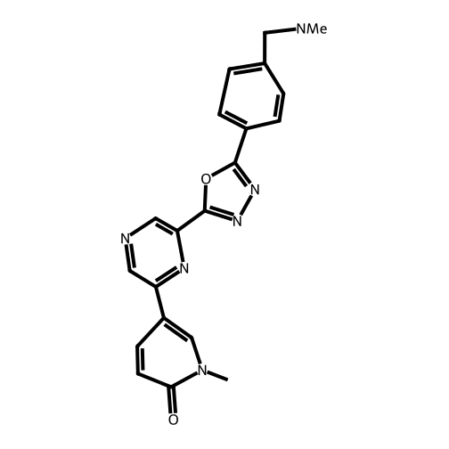 CNCc1ccc(-c2nnc(-c3cncc(-c4ccc(=O)n(C)c4)n3)o2)cc1